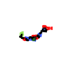 Cc1nn(CCCC2CN(C(=O)O)C(C)(C)C2)cc1S(=O)(=O)NC(=O)c1ccc(-n2ccc(OCCC3CC3C(F)(F)F)n2)nc1Cl